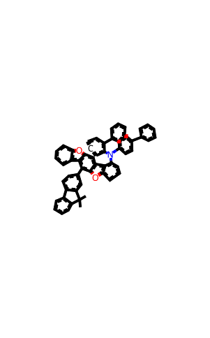 CC1(C)c2ccccc2-c2ccc(-c3c4oc5cccc(N(c6ccc(-c7ccccc7)cc6)c6ccccc6-c6ccccc6)c5c4cc4oc5ccccc5c34)cc21